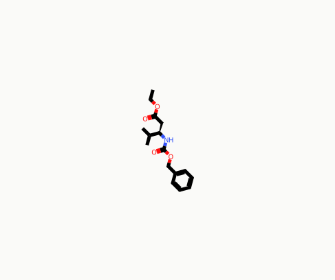 CCOC(=O)C[C@@H](NC(=O)OCc1ccccc1)C(C)C